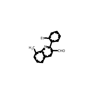 CCc1ccccc1-c1nc2c(C)cccc2cc1C=O